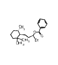 CCC(CC[C@@H]1[C@@H](C)CCCC1(C)C)OC(=O)c1ccccc1